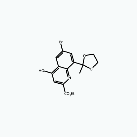 CCOC(=O)c1cc(O)c2cc(Br)cc(C3(C)OCCO3)c2n1